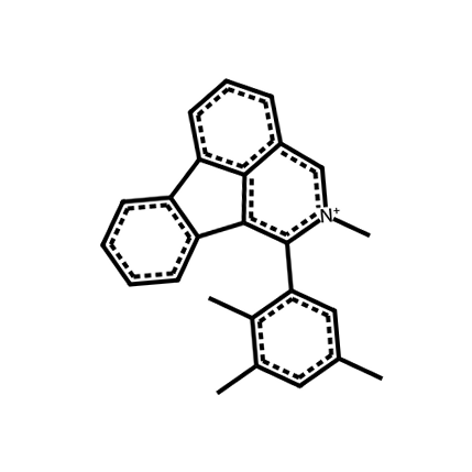 Cc1cc(C)c(C)c(-c2c3c4c(cccc4c[n+]2C)-c2ccccc2-3)c1